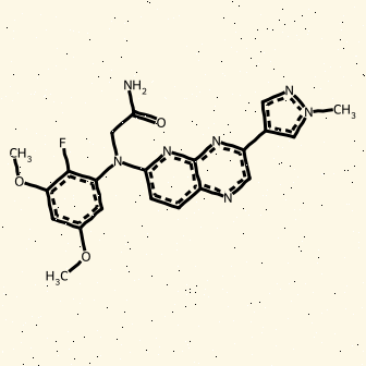 COc1cc(OC)c(F)c(N(CC(N)=O)c2ccc3ncc(-c4cnn(C)c4)nc3n2)c1